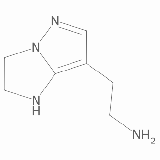 NCCc1cnn2c1NCC2